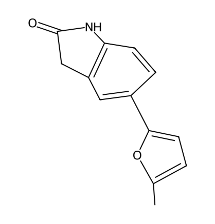 Cc1ccc(-c2ccc3c(c2)CC(=O)N3)o1